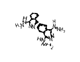 NNc1nnc(NN)c2ccccc12.NNc1nncc2ccccc12